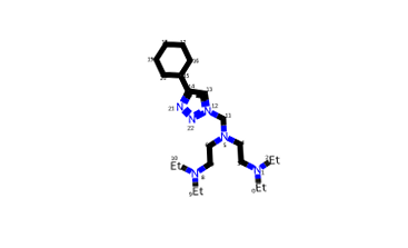 CCN(CC)CCN(CCN(CC)CC)Cn1cc(C2CCCCC2)nn1